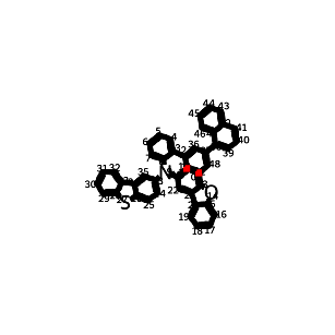 c1cc(-c2ccccc2N(c2ccc3oc4ccccc4c3c2)c2ccc3sc4ccccc4c3c2)cc(-c2cccc3ccccc23)c1